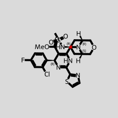 COC(=O)C1=C(CN2[C@@H]3COC[C@H]2C[C@H](NS(C)(=O)=O)C3)NC(c2nccs2)=N[C@H]1c1ccc(F)cc1Cl